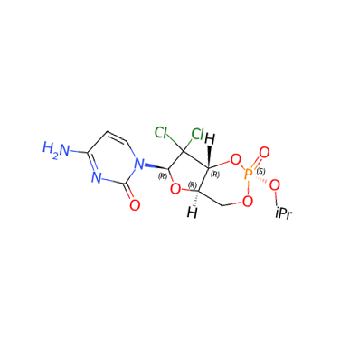 CC(C)O[P@]1(=O)OC[C@H]2O[C@@H](n3ccc(N)nc3=O)C(Cl)(Cl)[C@@H]2O1